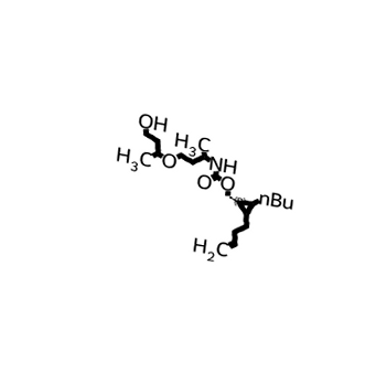 C=CCCC1C(CCCC)[C@H]1COC(=O)NC(C)CCOC(C)CCO